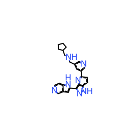 c1cc2[nH]c(-c3n[nH]c4ccc(-c5cncc(CNCC6CCCC6)c5)nc34)cc2cn1